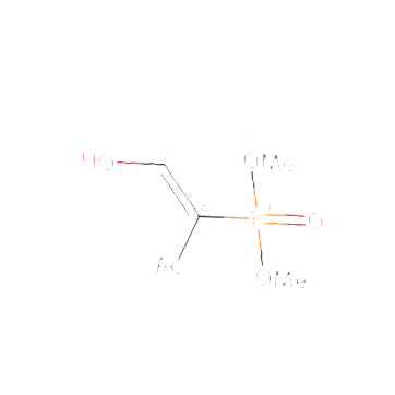 COP(=O)(OC)C(=CO)C(C)=O